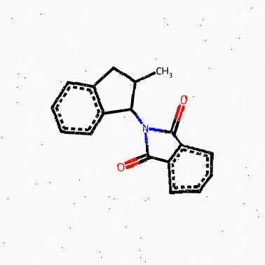 CC1Cc2ccccc2C1N1C(=O)c2ccccc2C1=O